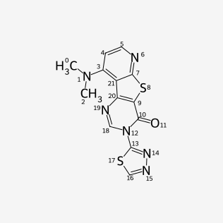 CN(C)c1ccnc2sc3c(=O)n(-c4nncs4)cnc3c12